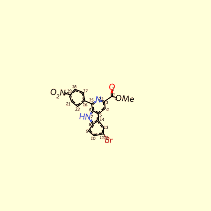 COC(=O)c1cc2c([nH]c3ccc(Br)cc32)c(-c2ccc([N+](=O)[O-])cc2)n1